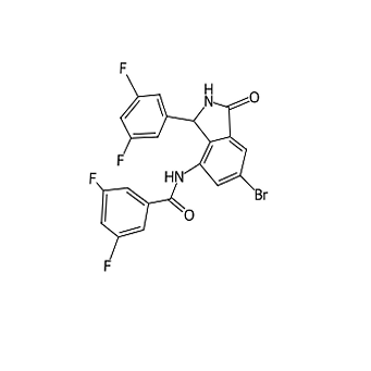 O=C(Nc1cc(Br)cc2c1C(c1cc(F)cc(F)c1)NC2=O)c1cc(F)cc(F)c1